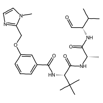 CC(C)[C@@H](C=O)NC(=O)[C@H](C)NC(=O)[C@@H](NC(=O)c1cccc(OCc2nccn2C)c1)C(C)(C)C